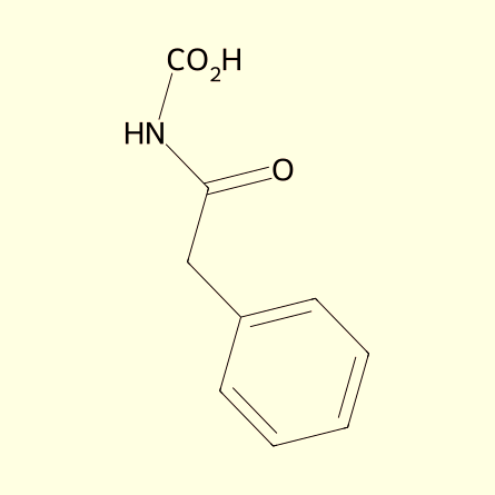 O=C(O)NC(=O)Cc1ccccc1